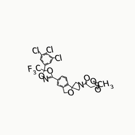 CS(=O)(=O)CC(=O)N1CC2(C1)OCc1cc(C3=NOC(c4cc(Cl)c(Cl)c(Cl)c4)(C(F)(F)F)O3)ccc12